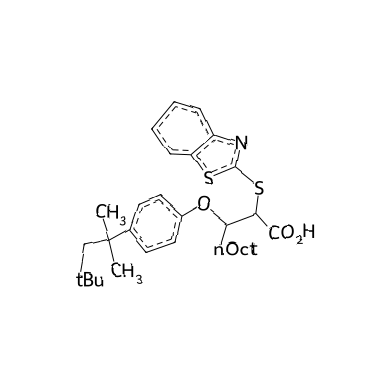 CCCCCCCCC(Oc1ccc(C(C)(C)CC(C)(C)C)cc1)C(Sc1nc2ccccc2s1)C(=O)O